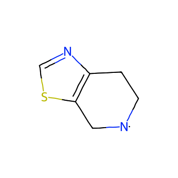 c1nc2c(s1)C[N]CC2